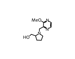 COc1nccnc1CN1CCCC1CO